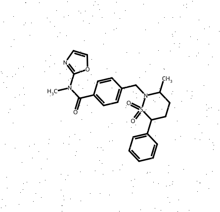 CC1CCC(c2ccccc2)S(=O)(=O)N1Cc1ccc(C(=O)N(C)c2ncco2)cc1